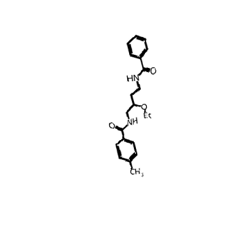 CCOC(CCNC(=O)c1ccccc1)CNC(=O)c1ccc(C)cc1